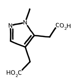 Cn1ncc(CC(=O)O)c1CC(=O)O